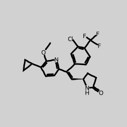 COc1nc(/C(=C/[C@H]2CCC(=O)N2)c2ccc(C(F)(F)F)c(Cl)c2)ccc1C1CC1